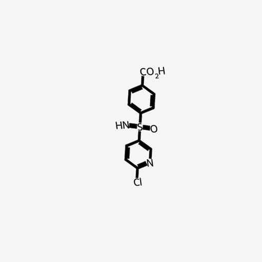 N=S(=O)(c1ccc(C(=O)O)cc1)c1ccc(Cl)nc1